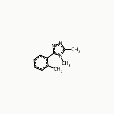 Cc1ccccc1-c1nnc(C)n1C